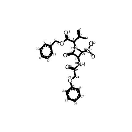 C=C(C)C(C(=O)OCc1ccccc1)N1C(=O)C(NC(=O)COc2ccccc2)C1[S+]([O-])Cl